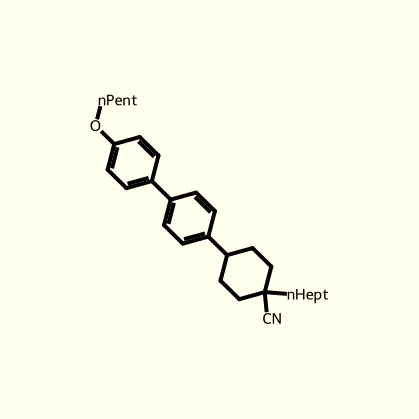 CCCCCCCC1(C#N)CCC(c2ccc(-c3ccc(OCCCCC)cc3)cc2)CC1